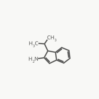 CC(C)C1C(N)=Cc2ccccc21